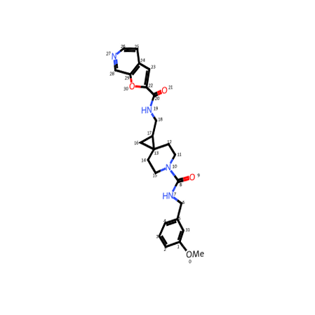 COc1cccc(CNC(=O)N2CCC3(CC2)CC3CNC(=O)c2cc3ccncc3o2)c1